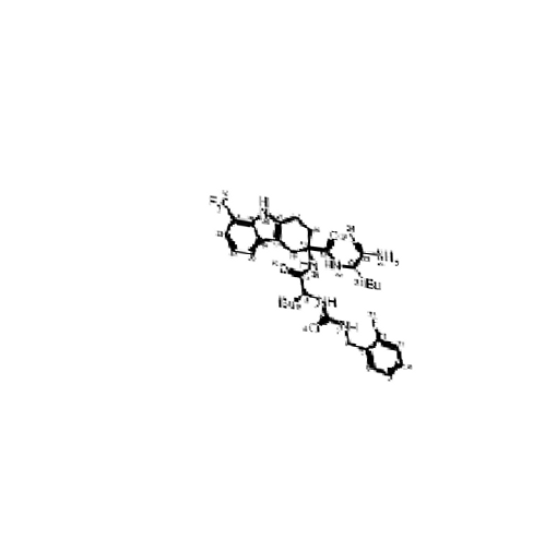 CCC(C)[C@H](NC(=O)NCc1ccccc1F)C(=O)N[C@]1(C(=O)NC(C(N)=S)[C@@H](C)CC)CCc2[nH]c3c(C(F)(F)F)cccc3c2C1